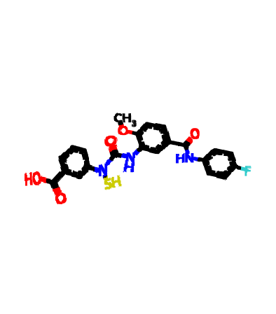 COc1ccc(C(=O)Nc2ccc(F)cc2)cc1NC(=O)N(S)c1cccc(C(=O)O)c1